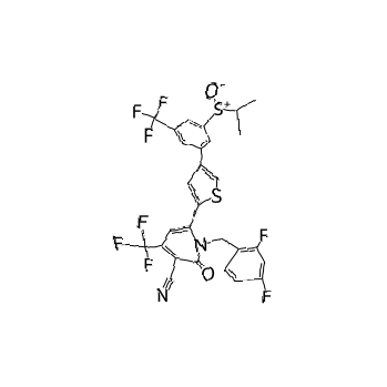 CC(C)[S+]([O-])c1cc(-c2csc(-c3cc(C(F)(F)F)c(C#N)c(=O)n3Cc3ccc(F)cc3F)c2)cc(C(F)(F)F)c1